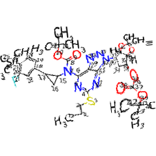 CCCSc1nc(N(C(=O)OC(C)(C)C)C2CC2c2cc[c]([Sn]([CH3])([CH3])[CH3])c(F)c2)c2nnn([C@@H]3C[C@H](OC(=O)OC(C)(C)C)[C@H]4OC(C)(C)O[C@H]43)c2n1